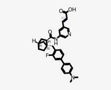 CN(C)c1ccc(-c2ccc(C[C@@]34CC[C@H](C[C@H]3C(=O)Nc3cncc(/C=C/C(=O)O)c3)C4)c(F)c2)cc1